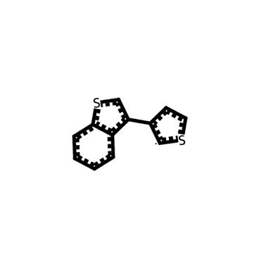 [c]1sccc1-c1csc2ccccc12